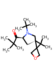 CC(C)(C)C(=O)[C@@H]1C[C@]2(CN1C(C)(C)C)C(C)(C)C21COC1